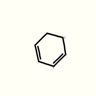 [C]1C=[C]C=CC1